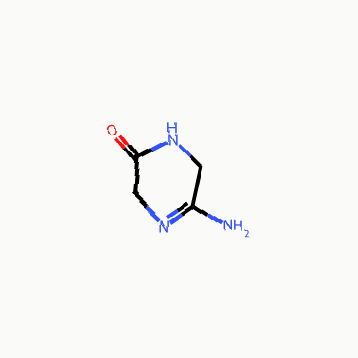 NC1=NCC(=O)NC1